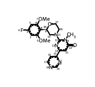 COc1cc(F)cc(OC)c1[C@@H]1CN(c2nc(-c3ccncn3)cc(=O)n2C)CCO1